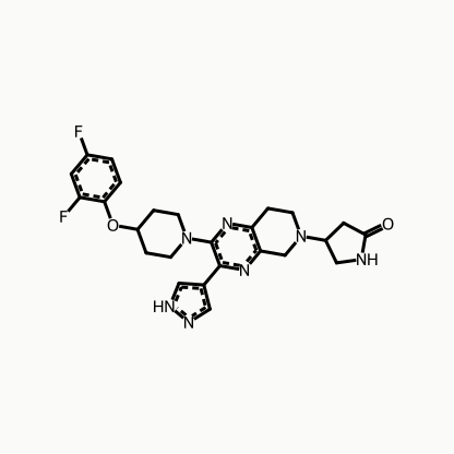 O=C1CC(N2CCc3nc(N4CCC(Oc5ccc(F)cc5F)CC4)c(-c4cn[nH]c4)nc3C2)CN1